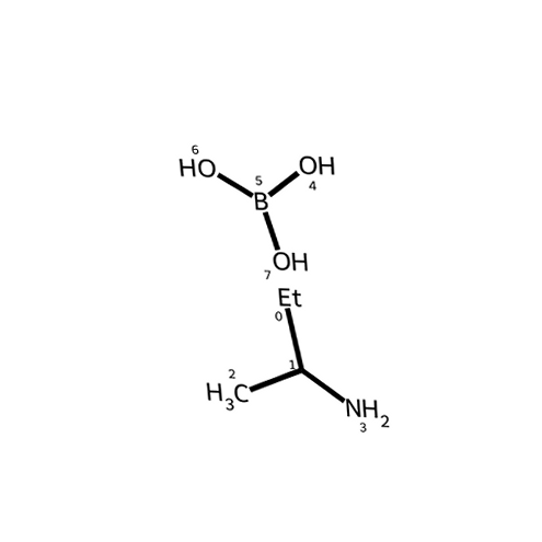 CCC(C)N.OB(O)O